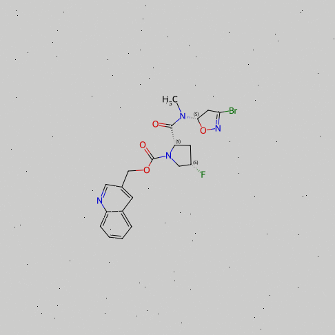 CN(C(=O)[C@@H]1C[C@H](F)CN1C(=O)OCc1cnc2ccccc2c1)[C@@H]1CC(Br)=NO1